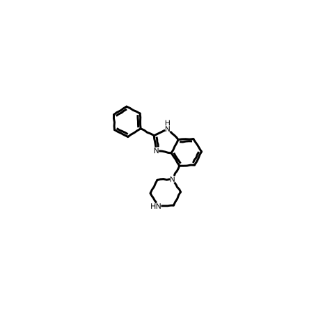 c1ccc(-c2nc3c(N4CCNCC4)cccc3[nH]2)cc1